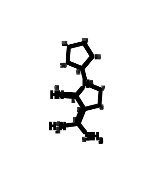 N=C1/C(=C(\N)[SiH3])CCN1C1CCCC1